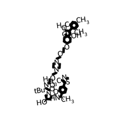 Cc1cc(C)c(C2=C(O)C3(CCC(OCCOCCN4CCN(CCOCC(=O)N[C@H](C(=O)N5C[C@H](O)C[C@H]5C(=O)N[C@@H](C)c5ccc(-c6scnc6C)cc5)C(C)(C)C)CC4)CC3)OC2=O)c(C)c1